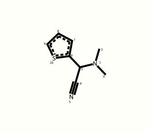 CN(C)C(C#N)c1cccs1